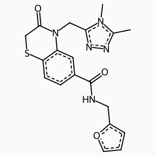 Cc1nnc(CN2C(=O)CSc3ccc(C(=O)NCc4ccco4)cc32)n1C